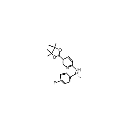 C[C@@H](Nc1ccc(B2OC(C)(C)C(C)(C)O2)cn1)c1ccc(F)cc1